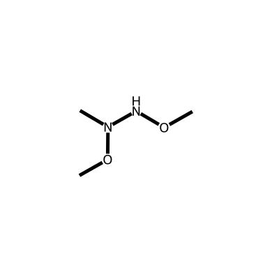 CONN(C)OC